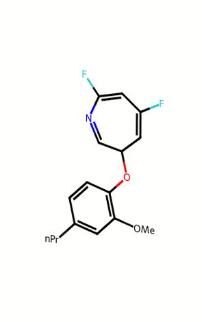 CCCc1ccc(OC2C=NC(F)=CC(F)=C2)c(OC)c1